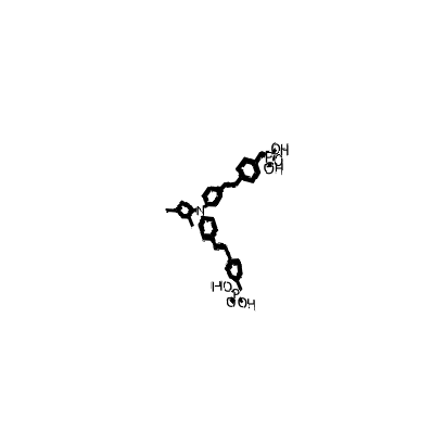 Cc1ccc(N(c2ccc(/C=C/c3ccc(CP(=O)(O)O)cc3)cc2)c2ccc(/C=C/c3ccc(CP(=O)(O)O)cc3)cc2)c(C)c1